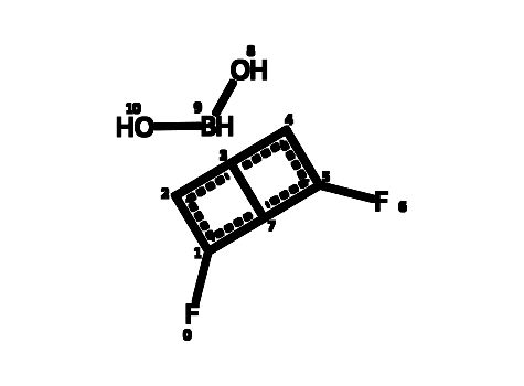 Fc1cc2cc(F)c1-2.OBO